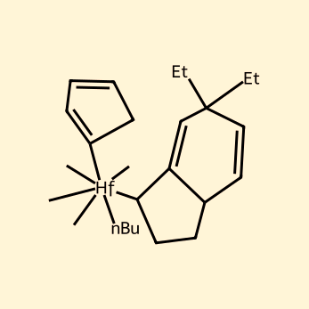 CCC[CH2][Hf]([CH3])([CH3])([CH3])([CH3])([C]1=CC=CC1)[CH]1CCC2C=CC(CC)(CC)C=C21